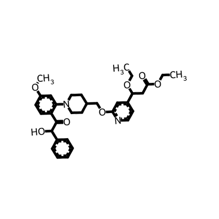 CCOC(=O)CC(OCC)c1ccnc(OCC2CCN(c3cc(OC)ccc3C(=O)C(O)c3ccccc3)CC2)c1